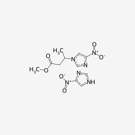 COC(=O)CC(C)n1cnc([N+](=O)[O-])c1.O=[N+]([O-])c1c[nH]cn1